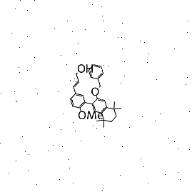 COc1ccc(C=CCO)cc1-c1cc2c(cc1OCc1ccccc1)C(C)(C)CCC2(C)C